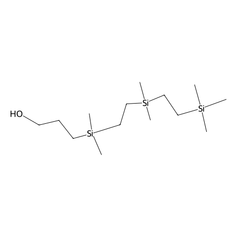 C[Si](C)(C)CC[Si](C)(C)CC[Si](C)(C)CCCO